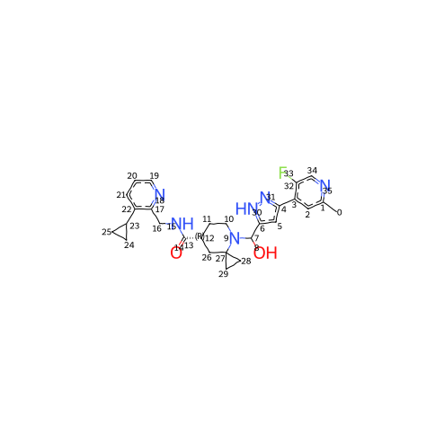 Cc1cc(-c2cc(C(O)N3CC[C@@H](C(=O)NCc4ncccc4C4CC4)CC34CC4)[nH]n2)c(F)cn1